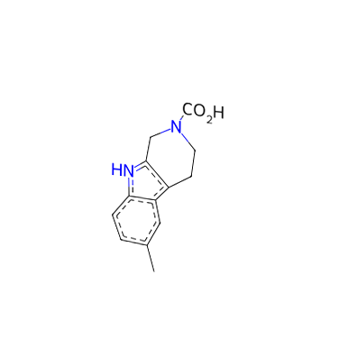 Cc1ccc2[nH]c3c(c2c1)CCN(C(=O)O)C3